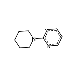 [c]1cccnc1N1CCCCC1